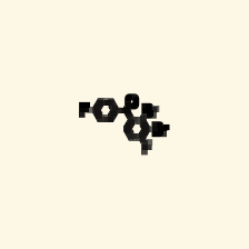 O=C(c1ccc(F)cc1)c1ccc(F)c(Br)c1Br